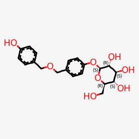 OC[C@H]1O[C@@H](Oc2ccc(COCc3ccc(O)cc3)cc2)[C@H](O)[C@@H](O)[C@@H]1O